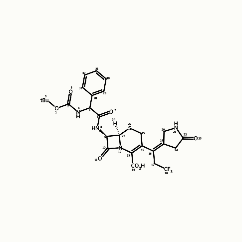 CC(C)(C)OC(=O)NC(C(=O)N[C@@H]1C(=O)N2C(C(=O)O)=C(C(CC(F)(F)F)=C3CNC(=O)C3)CS[C@H]12)c1ccccc1